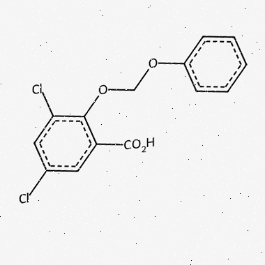 O=C(O)c1cc(Cl)cc(Cl)c1OCOc1ccccc1